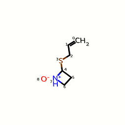 C=CCSC1CC[NH+]1[O-]